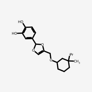 CC(C)C1(C)CCCC(OCC2=COC(c3ccc(O)c(O)c3)O2)C1